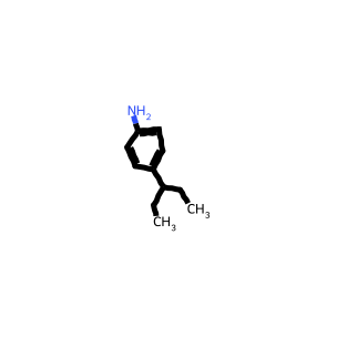 CCC(CC)c1ccc(N)cc1